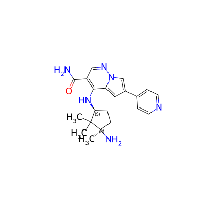 CC1(C)[C@@H](Nc2c(C(N)=O)cnn3cc(-c4ccncc4)cc23)CC[C@@]1(C)N